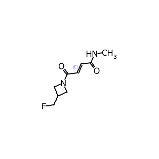 CNC(=O)/C=C/C(=O)N1CC(CF)C1